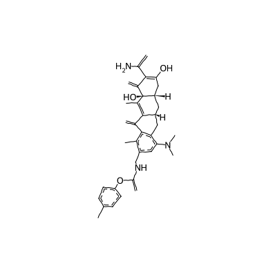 C=C(NCc1cc(N(C)C)c2c(c1C)C(=C)C1=C(C)[C@]3(O)C(=C)C(C(=C)N)=C(O)C[C@@H]3C[C@@H]1C2)Oc1ccc(C)cc1